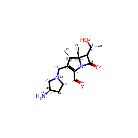 C[C@@H](O)C1C(=O)N2C(C=O)=C(CN3CC[C@@H](N)C3)[C@H](C)[C@H]12